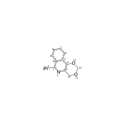 CC(C)c1nc2c(c3ccccc13)OCOC2